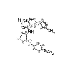 C=Bc1ccc(COC2CCC[C@@H]2NC(=O)c2cc(-c3cnn(C)c3)cnc2N)cc1